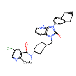 Cc1ncc(Cl)cc1C(=O)N[C@H]1CC[C@H](Cn2c(=O)n(-c3ccc4c(c3)CCC4)c3ncccc32)CC1